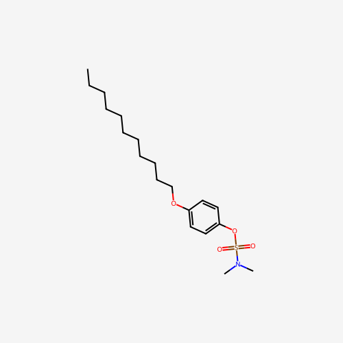 CCCCCCCCCCCOc1ccc(OS(=O)(=O)N(C)C)cc1